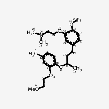 COCCOc1cc(C)ccc1OC(C)CCc1ccc(OC(C)C)c(OCCN(C)C)c1